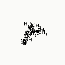 CC(C)c1nnc(N(COCC[Si](C)(C)C)c2ccc3ncc(Nc4cncnc4)cc3n2)s1